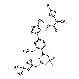 CCc1nc(-c2nnn(C)c2COC(=O)N(C)C23CC(F)(C2)C3)ccc1N1C[C@@H](CC(=O)OC(C)(C)C)CC(F)(F)C1